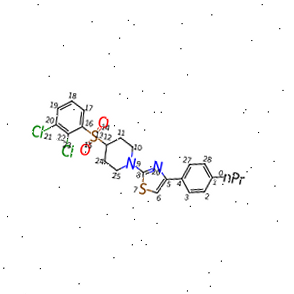 CCCc1ccc(-c2csc(N3CCC(S(=O)(=O)c4cccc(Cl)c4Cl)CC3)n2)cc1